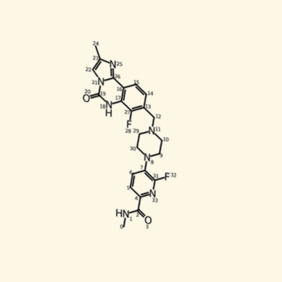 CNC(=O)c1ccc(N2CCN(Cc3ccc4c([nH]c(=O)n5cc(C)nc45)c3F)CC2)c(F)n1